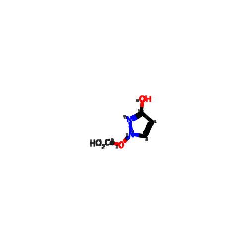 O=C(O)On1ccc(O)n1